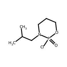 CC(C)CN1CCCOP1(=O)Cl